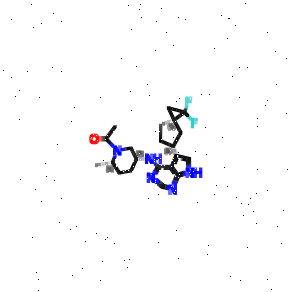 CC(=O)N1C[C@H](Nc2ncnc3[nH]cc([C@@H]4CC[C@]5(C4)CC5(F)F)c23)CC[C@@H]1C